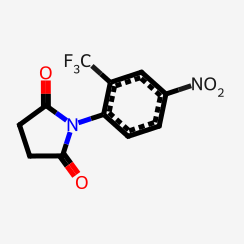 O=C1CCC(=O)N1c1ccc([N+](=O)[O-])cc1C(F)(F)F